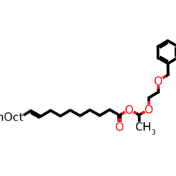 CCCCCCCCC=CCCCCCCCC(=O)OC(C)OCCOCc1ccccc1